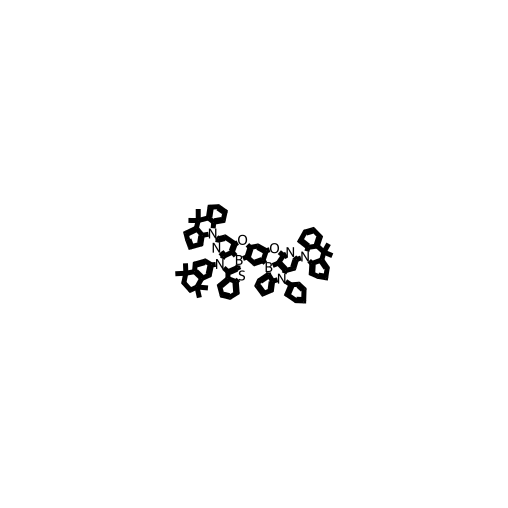 CC1(C)CCC(C)(C)c2cc(N3c4nc(N5c6ccccc6C(C)(C)c6ccccc65)cc5c4B(c4cc6c(cc4O5)Oc4nc(N5c7ccccc7C(C)(C)c7ccccc75)cc5c4B6c4ccccc4N5c4ccccc4)c4sc5ccccc5c43)ccc21